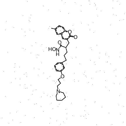 Cc1ccc2oc(=O)c(CC(CCCc3cccc(OCCCN4CCCCC4)c3)C(=O)NO)cc2c1